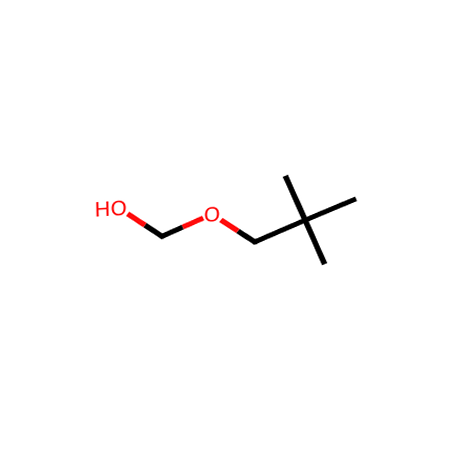 CC(C)(C)COCO